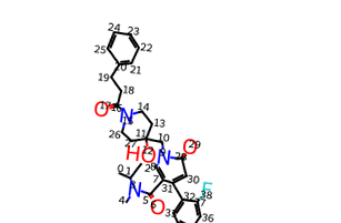 CC(C)N(C)C(=O)c1cn(CC2(O)CCN(C(=O)CCc3ccccc3)CC2)c(=O)cc1-c1ccccc1F